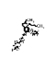 CCCCCN1c2cc(NS(=O)(=O)CC(F)(F)F)c(N=Nc3nnc(C(=O)OC(F)(F)C(F)(F)F)s3)cc2CCC1CC